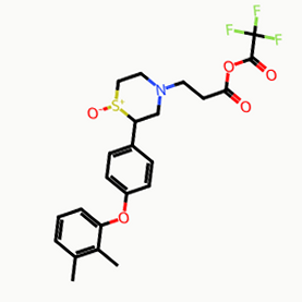 Cc1cccc(Oc2ccc(C3CN(CCC(=O)OC(=O)C(F)(F)F)CC[S+]3[O-])cc2)c1C